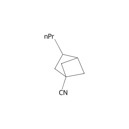 CCCC1CC2(C#N)CC1C2